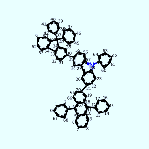 c1ccc(-c2c3ccccc3c(-c3ccccc3)c3cc(-c4ccc5c(c4)c4cc(-c6ccc7c(c6)C(c6ccccc6)(c6ccccc6)c6ccccc6-7)ccc4n5-c4ccccc4)ccc23)cc1